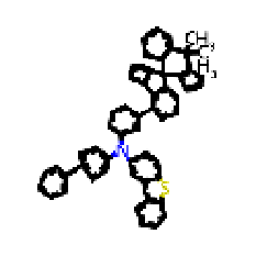 CC1(C)c2ccccc2C2(c3ccccc3-c3c(-c4cccc(N(c5ccc(-c6ccccc6)cc5)c5ccc6sc7ccccc7c6c5)c4)cccc32)c2ccccc21